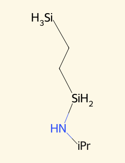 CC(C)N[SiH2]CC[SiH3]